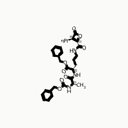 CCC[C@H]1C(=O)O[C@@H]1C(=O)NCCC[C@H](NC(=O)[C@H](C)NC(=O)OCc1ccccc1)C(=O)OCc1ccccc1